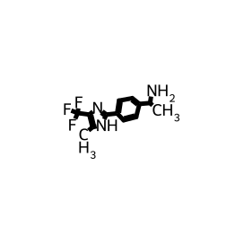 Cc1[nH]c(-c2ccc(C(C)N)cc2)nc1C(F)(F)F